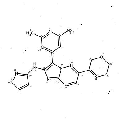 Cc1nc(N)cc(-c2c(Nc3cc[nH]n3)nc3ccc(C4=CCCOC4)nn23)n1